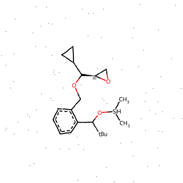 C[SiH](C)OC(c1ccccc1COC(C1CC1)[C@H]1CO1)C(C)(C)C